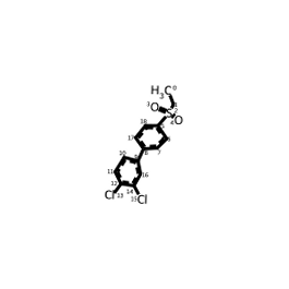 CCS(=O)(=O)c1ccc(-c2ccc(Cl)c(Cl)c2)cc1